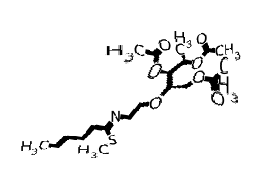 CC=CCC/C(=N/CCO[C@H](COC(C)=O)[C@@H](OC(C)=O)[C@@H](C)OC(C)=O)SC